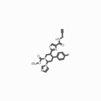 C#CCNC(=O)c1csc(C2CN(C(=O)OC(C)(C)C)C(n3ccnc3)CC2c2ccc(F)cc2)n1